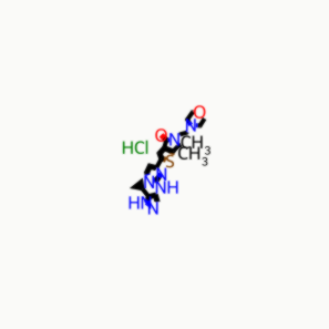 CC1(C)c2sc(-c3ccnc(Nc4cn[nH]c4C4CC4)n3)cc2C(=O)N1CCN1CCOCC1.Cl